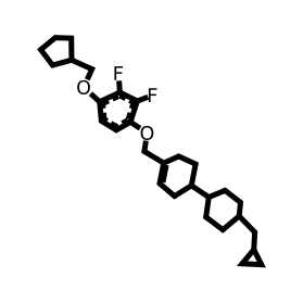 Fc1c(OCC2=CCC(C3CCC(CC4CC4)CC3)CC2)ccc(OCC2CCCC2)c1F